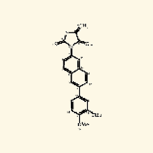 C=C1SC(=S)N(c2ccc3cc(-c4ccc(OC)c(C(C)(C)C)c4)ccc3c2)C1=O